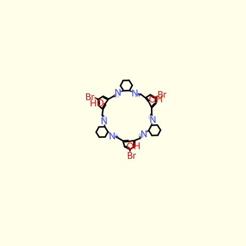 Oc1c2cc(Br)cc1/C=N/C1CCCCC1/N=C/c1cc(Br)cc(c1O)/C=N/C1CCCCC1/N=C/c1cc(Br)cc(c1O)/C=N/C1CCCCC1/N=C/2